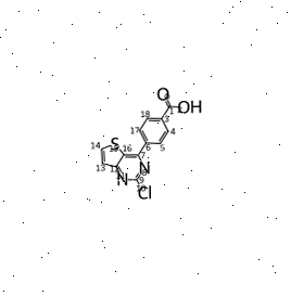 O=C(O)c1ccc(-c2nc(Cl)nc3ccsc23)cc1